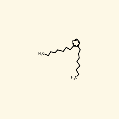 CCCCCCCCc1ccsc1CCCCCCCC